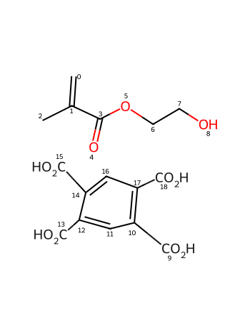 C=C(C)C(=O)OCCO.O=C(O)c1cc(C(=O)O)c(C(=O)O)cc1C(=O)O